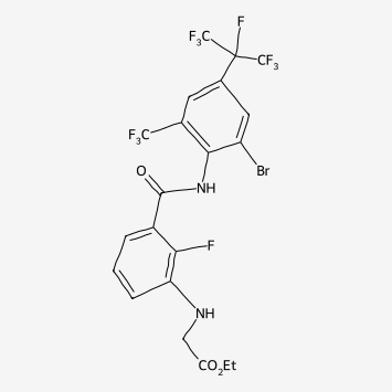 CCOC(=O)CNc1cccc(C(=O)Nc2c(Br)cc(C(F)(C(F)(F)F)C(F)(F)F)cc2C(F)(F)F)c1F